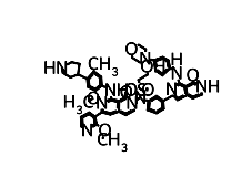 COc1cc(C2CCNCC2)c(C)cc1Nc1nc(-c2cccnc2OC)cc2ccn(N(c3cccc(-c4cc5cc[nH]c(=O)c5c(Nc5ccc(N6CCOCC6)cc5)n4)c3)S(=O)(=O)CCO)c(=O)c12